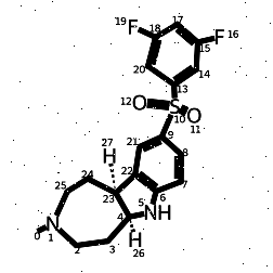 CN1CC[C@@H]2Nc3ccc(S(=O)(=O)c4cc(F)cc(F)c4)cc3[C@@H]2CC1